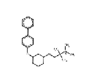 C[SiH](C)C(C)(C)COC1CCCC(Oc2ccc(-c3ccccc3)cc2)C1